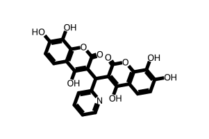 O=c1oc2c(O)c(O)ccc2c(O)c1C(c1ccccn1)c1c(O)c2ccc(O)c(O)c2oc1=O